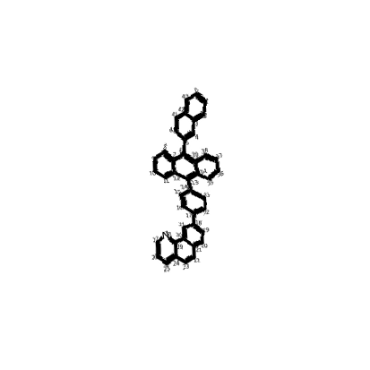 c1ccc2cc(-c3c4ccccc4c(-c4ccc(-c5ccc6ccc7cccnc7c6c5)cc4)c4ccccc34)ccc2c1